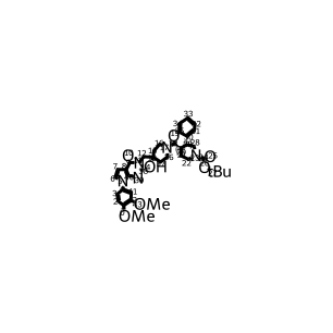 COc1ccc(-n2ccc3c(=O)n(CC4(O)CCN(C(=O)[C@@H]5CCN(C(=O)OC(C)(C)C)C[C@H]5c5ccccc5)CC4)cnc32)cc1OC